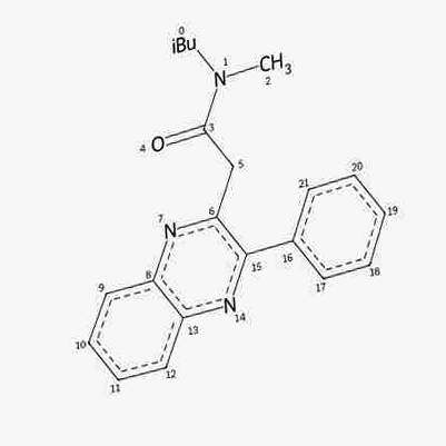 CCC(C)N(C)C(=O)Cc1nc2ccccc2nc1-c1ccccc1